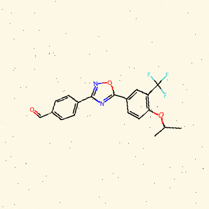 CC(C)Oc1ccc(-c2nc(-c3ccc(C=O)cc3)no2)cc1C(F)(F)F